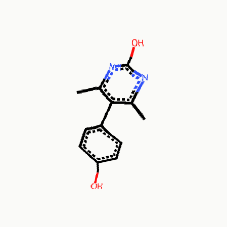 Cc1nc(O)nc(C)c1-c1ccc(O)cc1